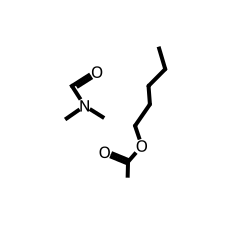 CCCCCOC(C)=O.CN(C)C=O